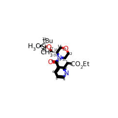 CCOC(=O)Cc1ncccc1C(=O)N1CCOC[C@H]1CO[Si](C)(C)C(C)(C)C